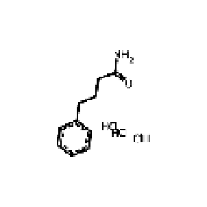 Cl.Cl.Cl.NC(=O)CCCc1ccccc1